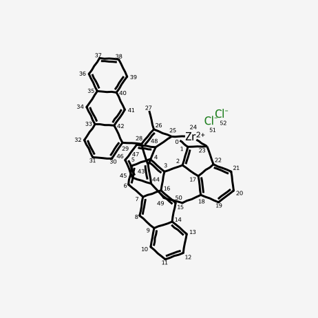 CC1=C(c2cccc3cc4ccccc4cc23)c2c3cccc2[CH]1[Zr+2][CH]1C(C)=C(c2cccc4cc5ccccc5cc24)c2c(cccc21)CC3.[Cl-].[Cl-]